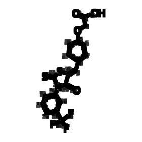 O=C(O)COc1ccc(/C=C2\SC(=S)N(c3cccc(C(F)(F)F)c3)C2=O)cc1